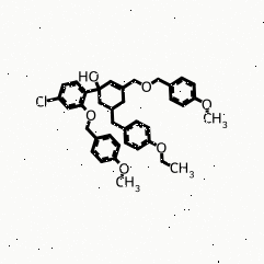 CCOc1ccc(CC2CC(COCc3ccc(OC)cc3)=CC(O)(c3ccc(Cl)cc3OCc3ccc(OC)cc3)C2)cc1